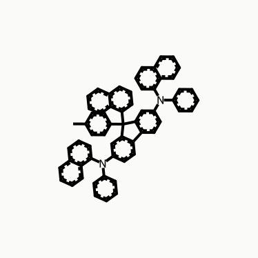 Cc1ccc(C2(c3cccc4ccccc34)c3cc(N(c4ccccc4)c4cccc5ccccc45)ccc3-c3ccc(N(c4ccccc4)c4cccc5ccccc45)cc32)cc1